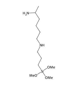 CO[Si](CCCNCCCCC(C)N)(OC)OC